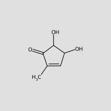 CC1=CC(O)C(O)C1=O